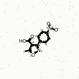 Cc1onc(-c2ccc([N+](=O)[O-])cc2)c1C(=O)O